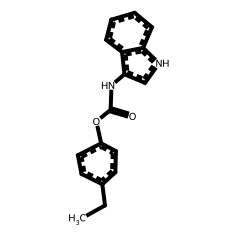 CCc1ccc(OC(=O)Nc2c[nH]c3ccccc23)cc1